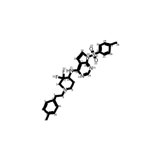 Cc1ccc(CCN2CCC(Nc3ncnc4c3ccn4S(=O)(=O)c3ccc(C)cc3)C(F)(F)C2)cc1